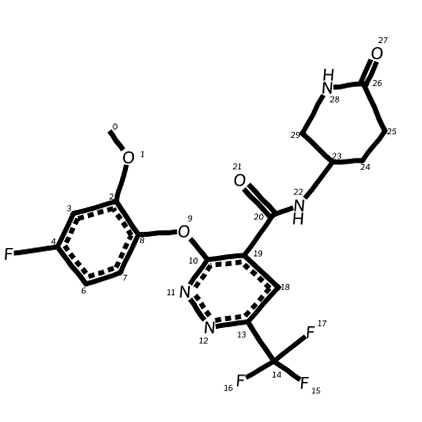 COc1cc(F)ccc1Oc1nnc(C(F)(F)F)cc1C(=O)NC1CCC(=O)NC1